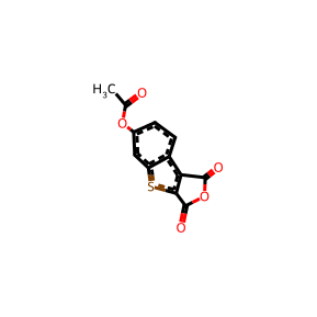 CC(=O)Oc1ccc2c3c(sc2c1)C(=O)OC3=O